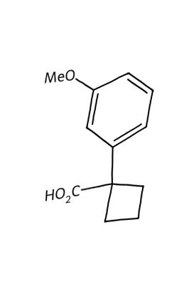 COc1cccc(C2(C(=O)O)CCC2)c1